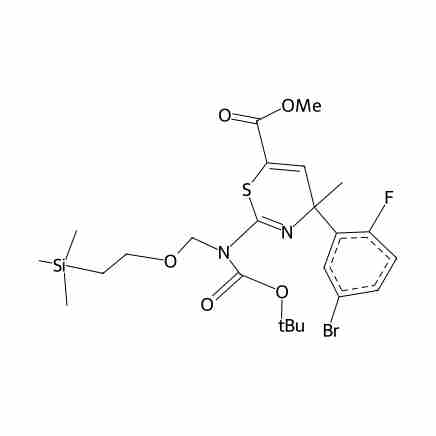 COC(=O)C1=CC(C)(c2cc(Br)ccc2F)N=C(N(COCC[Si](C)(C)C)C(=O)OC(C)(C)C)S1